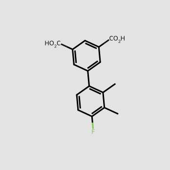 Cc1c(F)ccc(-c2cc(C(=O)O)cc(C(=O)O)c2)c1C